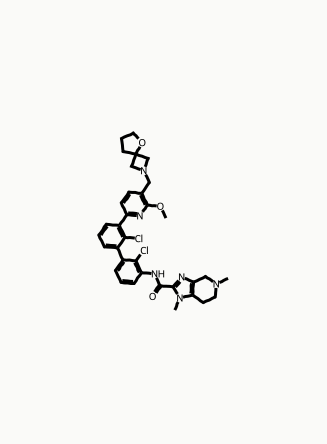 COc1nc(-c2cccc(-c3cccc(NC(=O)c4nc5c(n4C)CCN(C)C5)c3Cl)c2Cl)ccc1CN1CC2(CCCO2)C1